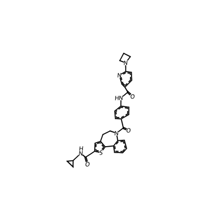 O=C(Nc1ccc(C(=O)N2CCc3cc(C(=O)NC4CC4)sc3-c3ccccc32)cc1)c1ccc(N2CCC2)nc1